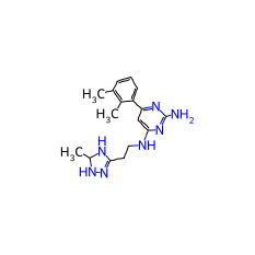 Cc1cccc(-c2cc(NCCC3=NNC(C)N3)nc(N)n2)c1C